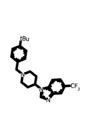 CC(C)(C)c1ccc(CN2CCC(n3cnc4cc(C(F)(F)F)ccc43)CC2)cc1